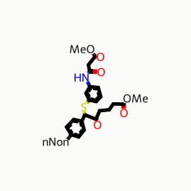 CCCCCCCCCc1ccc(C(Sc2cccc(NC(=O)CC(=O)OC)c2)C(=O)CCCC(=O)OC)cc1